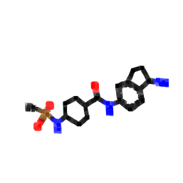 CC(C)S(=O)(=O)NC1CCC(C(=O)Nc2ccc3c(c2)CCC3=N)CC1